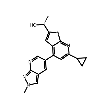 C[C@@H](O)c1cc2c(-c3cnc4nn(C)cc4c3)cc(C3CC3)nc2s1